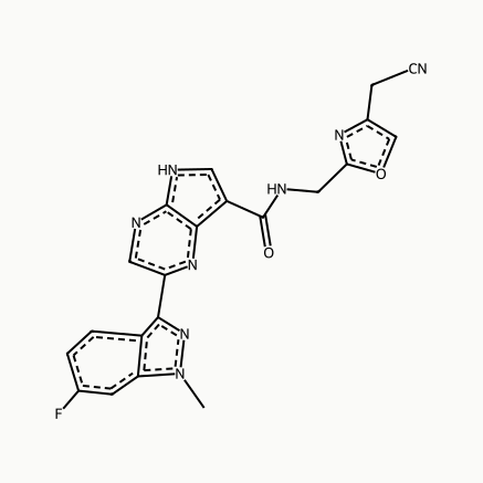 Cn1nc(-c2cnc3[nH]cc(C(=O)NCc4nc(CC#N)co4)c3n2)c2ccc(F)cc21